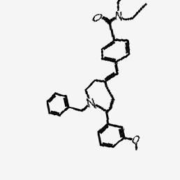 CCN(CC)C(=O)c1ccc(C=C2CCN(Cc3ccccc3)C(c3cccc(OC)c3)C2)cc1